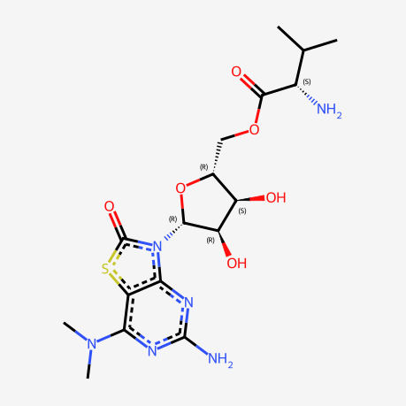 CC(C)[C@H](N)C(=O)OC[C@H]1O[C@@H](n2c(=O)sc3c(N(C)C)nc(N)nc32)[C@H](O)[C@@H]1O